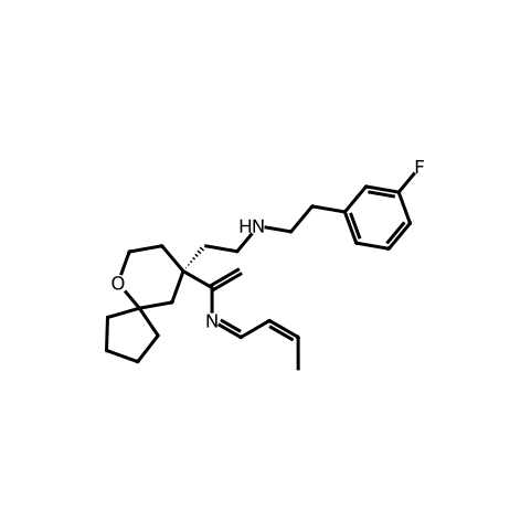 C=C(/N=C\C=C/C)[C@]1(CCNCCc2cccc(F)c2)CCOC2(CCCC2)C1